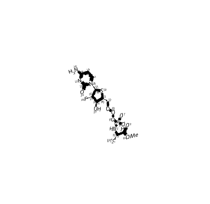 COC(=O)[C@H](C)NP(=O)(O)OOOC[C@H]1S[C@@H](n2ccc(N)nc2=O)[C@@H](F)[C@@H]1O